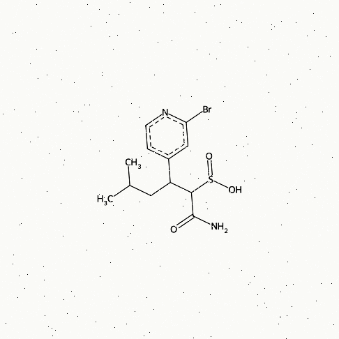 CC(C)CC(c1ccnc(Br)c1)C(C(N)=O)S(=O)O